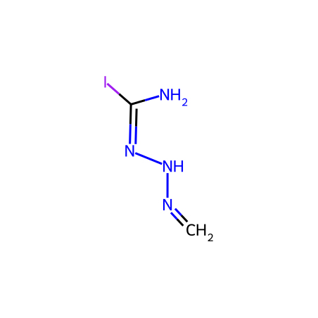 C=NN/N=C(\N)I